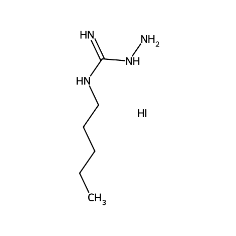 CCCCCNC(=N)NN.I